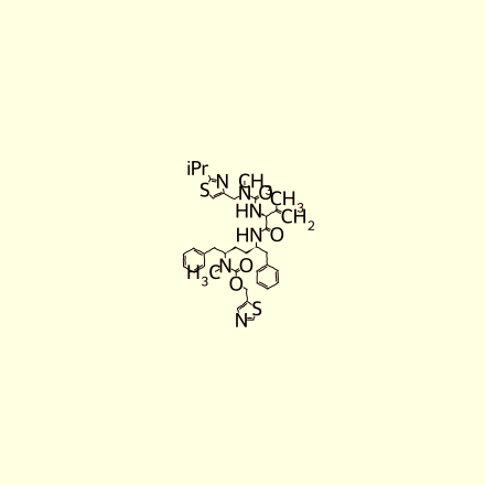 C=C(C)[C@H](NC(=O)N(C)Cc1csc(C(C)C)n1)C(=O)N[C@H](CC[C@H](Cc1ccccc1)N(C)C(=O)OCc1cncs1)Cc1ccccc1